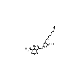 C#CCCCCSC[C@H]1CN(Cc2c[nH]c3c(N)ncnc23)C[C@H]1O